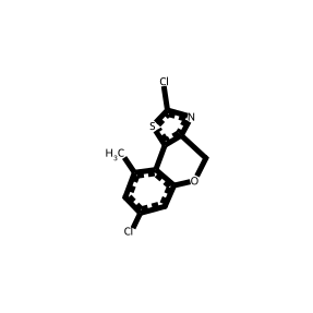 Cc1cc(Cl)cc2c1-c1sc(Cl)nc1CO2